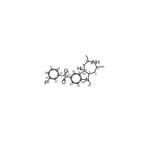 CC1CC2[C@@H](CC(C)N1)c1cc(S(=O)(=O)c3cccc(F)c3)ccc1N2C